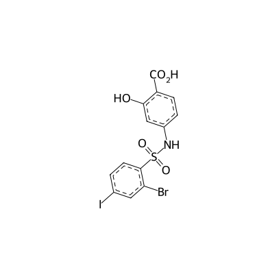 O=C(O)c1ccc(NS(=O)(=O)c2ccc(I)cc2Br)cc1O